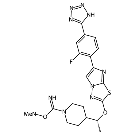 CNOC(=N)N1CCC([C@@H](C)Oc2nn3cc(-c4ccc(-c5nnn[nH]5)cc4F)nc3s2)CC1